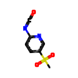 CS(=O)(=O)c1ccc(N=C=O)nc1